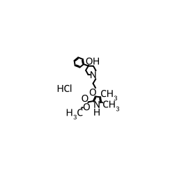 CCOC(=O)c1[nH]c(C)c(C)c1OCCCN1CCC(O)(c2ccccc2)CC1.Cl